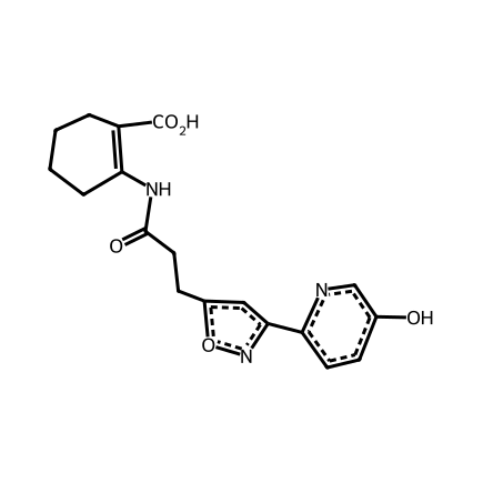 O=C(CCc1cc(-c2ccc(O)cn2)no1)NC1=C(C(=O)O)CCCC1